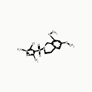 COc1cc2c(c(OC)c1)CN(S(=O)(=O)c1c(C)nn(C)c1Cl)CC2